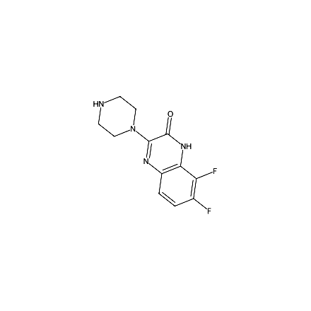 O=c1[nH]c2c(F)c(F)ccc2nc1N1CCNCC1